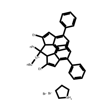 C1CC[SiH2]C1.CCC[CH2][Ti+2][C](CCC)(C1C(CC)=Cc2c(-c3ccccc3)cccc21)C1C(CC)=Cc2c(-c3ccccc3)cccc21.[Br-].[Br-]